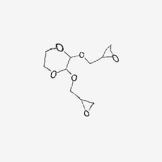 C1COC(OCC2CO2)C(OCC2CO2)O1